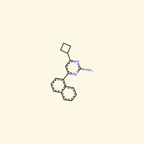 Nc1nc(-c2cccc3ccccc23)cc(C2CCC2)n1